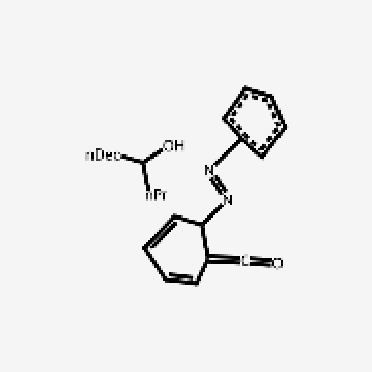 CCCCCCCCCCC(O)CCC.O=C=C1C=CC=CC1N=Nc1ccccc1